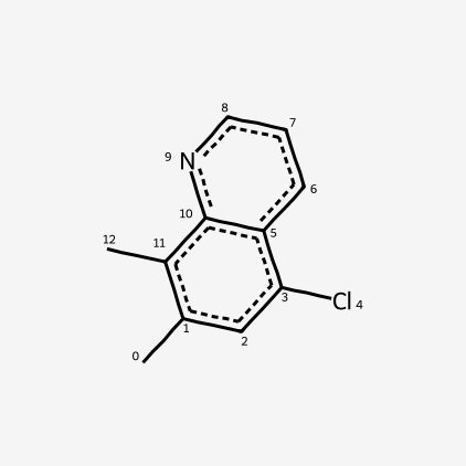 Cc1cc(Cl)c2cccnc2c1C